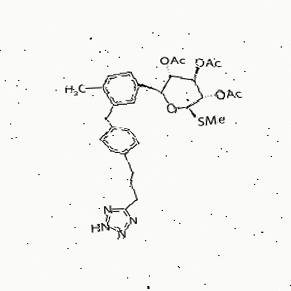 CS[C@H]1O[C@@H](c2ccc(C)c(Cc3ccc(CCCc4nn[nH]n4)cc3)c2)[C@H](OC(C)=O)[C@@H](OC(C)=O)[C@@H]1OC(C)=O